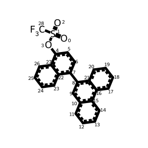 O=S(=O)(Oc1ccc(-c2cc3ccccc3c3ccccc23)c2ccccc12)C(F)(F)F